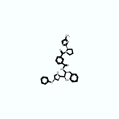 Cc1csc([C@H]2CCCN2C(=O)c2cccc(C(=O)N[C@@H](Cc3ccccc3)[C@@H](O)[C@H]3C[C@@H](Oc4ccccc4)CN3)c2)n1